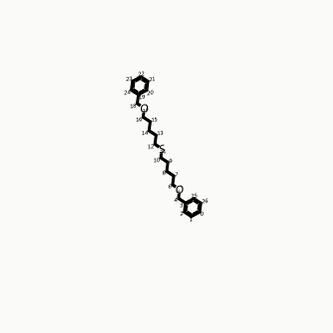 c1ccc(COCCCCCSCCCCCOCc2ccccc2)cc1